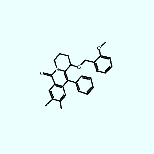 COc1ccccc1COC1CCCn2c1c(-c1ccccc1)c1cc(C)c(C)cc1c2=O